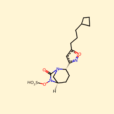 O=C1N2C[C@@H](CC[C@H]2c2cc(CCCC3CCC3)on2)N1OS(=O)(=O)O